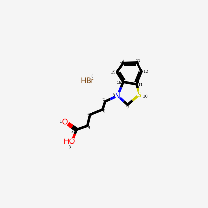 Br.O=C(O)CCCCN1CSc2ccccc21